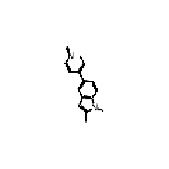 C=N/C=C\C(=C/C)c1ccc2c(c1)cc(C)n2C